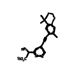 CCCC(C(=O)OCC)c1cc(C#Cc2cc3c(cc2C)SCCC3(C)C)cnn1